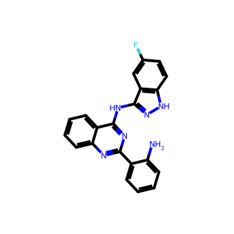 Nc1ccccc1-c1nc(Nc2n[nH]c3ccc(F)cc23)c2ccccc2n1